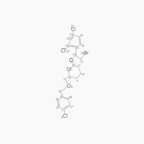 Clc1ccc(COCC2CCCC(OC(CBr)c3ccc(Cl)cc3Cl)O2)cc1